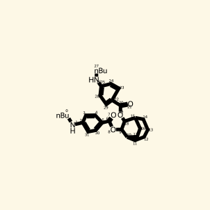 CCCCNc1ccc(C(=O)OC2C3CCCCC(CC3)C2OC(=O)c2ccc(NCCCC)cc2)cc1